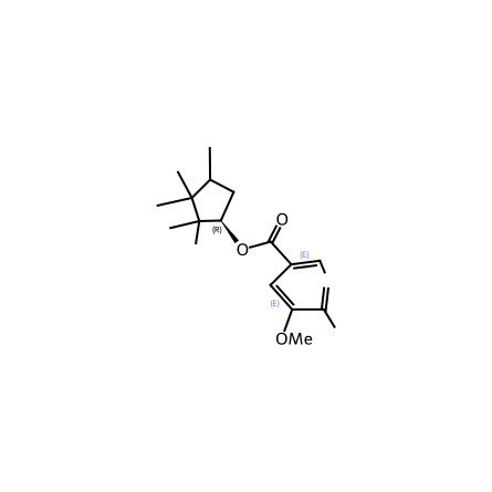 C=C(C)/C(=C\C(=C/C)C(=O)O[C@@H]1CC(C)C(C)(C)C1(C)C)OC